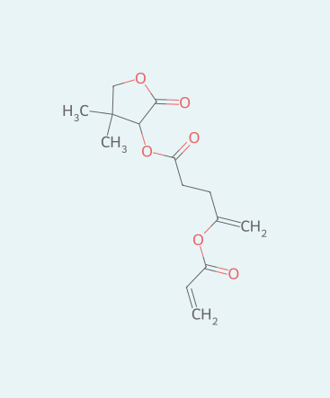 C=CC(=O)OC(=C)CCC(=O)OC1C(=O)OCC1(C)C